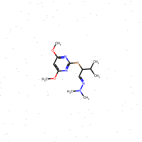 COc1cc(OC)nc(SC(C=NN(C)C)C(C)C)n1